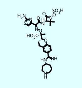 CC1(C)[C@H](NC(=O)/C(=N\O[C@](C)(C(=O)O)[C@H]2CCc3cc(C(=N)N[C@@H]4CCCNCC4)ccc3O2)c2csc(N)n2)C(=O)N1OS(=O)(=O)O